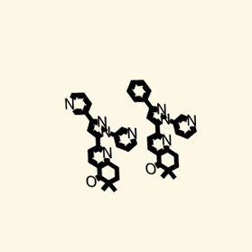 CC1(C)CCc2nc(-c3cc(-c4ccccc4)nn3-c3cccnc3)ccc2C1=O.CC1(C)CCc2nc(-c3cc(-c4cccnc4)nn3-c3cccnc3)ccc2C1=O